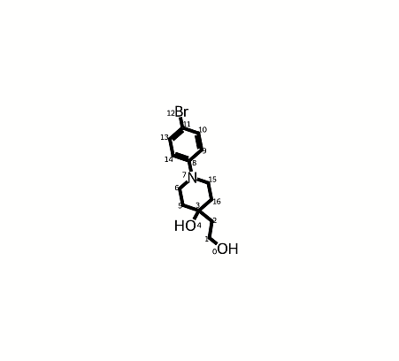 OCCC1(O)CCN(c2ccc(Br)cc2)CC1